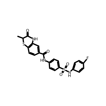 CC1Sc2ccc(C(=O)Nc3ccc(S(=O)(=O)Nc4ccc(F)cc4)cc3)cc2NC1=O